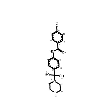 O=C(Nc1ccc(C(O)(O)N2CCSCC2)cc1)c1ccc(Cl)cc1